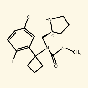 COC(=O)N(C[C@@H]1CCCN1)C1(c2cc(Cl)ccc2F)CCC1